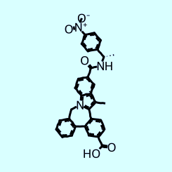 Cc1c2n(c3ccc(C(=O)N[C@@H](C)c4ccc([N+](=O)[O-])cc4)cc13)Cc1ccccc1-c1cc(C(=O)O)ccc1-2